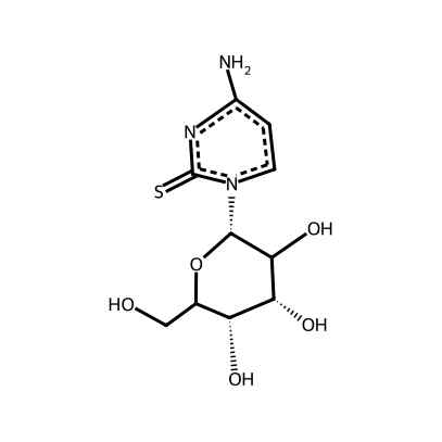 Nc1ccn([C@H]2OC(CO)[C@@H](O)[C@@H](O)C2O)c(=S)n1